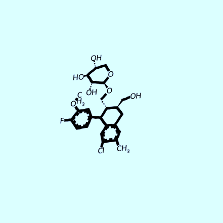 COc1cc(C2c3cc(Cl)c(C)cc3C[C@H](CO)[C@H]2CO[C@@H]2OC[C@@H](O)[C@H](O)[C@H]2O)ccc1F